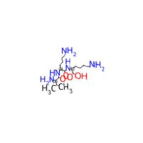 CC(C)[C@H](N)C(=O)N[C@@H](CCCCN)C(=O)N[C@@H](CCCCN)C(=O)O